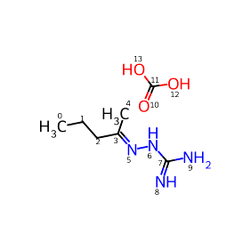 CCC/C(C)=N/NC(=N)N.O=C(O)O